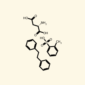 Cc1ccccc1S(=O)(=O)O.N[C@@H](CC(=O)O)C(=O)O.c1ccc(CCc2ccccc2)cc1